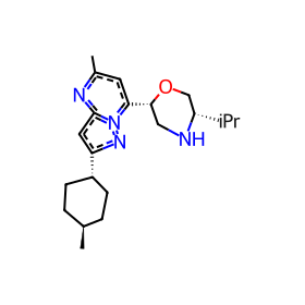 Cc1cc([C@H]2CN[C@@H](C(C)C)CO2)n2nc([C@H]3CC[C@H](C)CC3)cc2n1